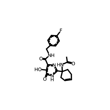 CC(=O)NC1(c2nc(C(=O)NCc3ccc(F)cc3)c(O)c(=O)[nH]2)CC=CCC1